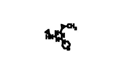 CC1CC1c1nc(NC2CC2)nc(N2CCSCC2)n1